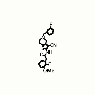 COc1cccc(CC(=O)Nc2sc3c(c2C#N)CN(Cc2cccc(F)c2)CC3)c1F